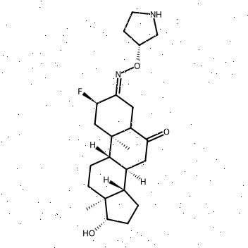 C[C@]12CC[C@H]3[C@@H](CC(=O)C4C/C(=N\O[C@@H]5CCNC5)[C@H](F)C[C@@]43C)[C@@H]1CC[C@@H]2O